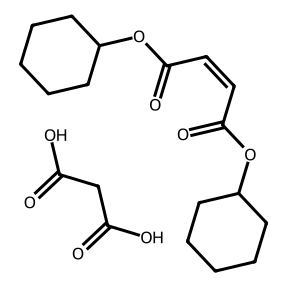 O=C(/C=C\C(=O)OC1CCCCC1)OC1CCCCC1.O=C(O)CC(=O)O